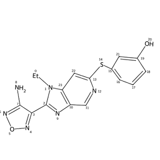 CCn1c(-c2nonc2N)nc2cnc(Sc3cccc(O)c3)cc21